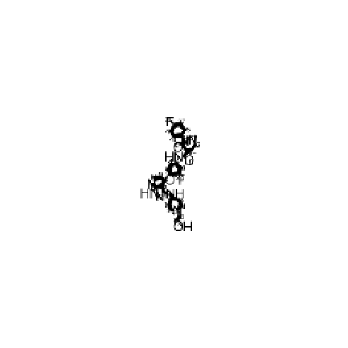 O=C(Nc1ccc(Oc2ccnc3[nH]nc(NC4CCN(CCO)CC4)c23)c(F)c1)c1ccnn(-c2ccc(F)cc2)c1=O